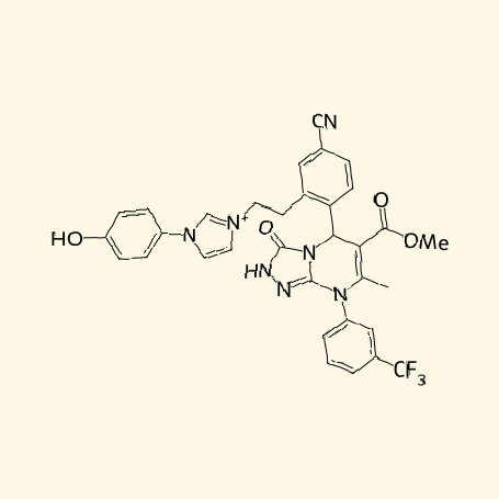 COC(=O)C1=C(C)N(c2cccc(C(F)(F)F)c2)c2n[nH]c(=O)n2C1c1ccc(C#N)cc1CC[n+]1ccn(-c2ccc(O)cc2)c1